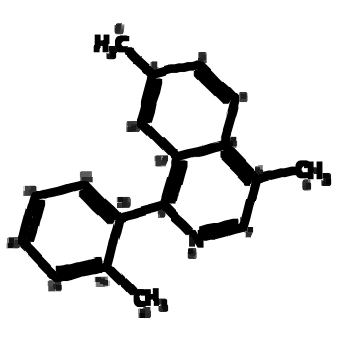 Cc1ccc2c(C)cnc(-c3ccccc3C)c2c1